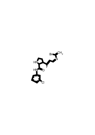 C=C(Br)/N=C\C=C(/F)C1CCNC1C(=O)Nc1cccc(Cl)c1